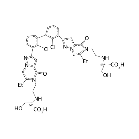 CCc1cn2nc(-c3cccc(-c4cccc(-c5cc6c(=O)n(CCN[C@@H](CO)C(=O)O)c(CC)cn6n5)c4Cl)c3Cl)cc2c(=O)n1CCN[C@@H](CO)C(=O)O